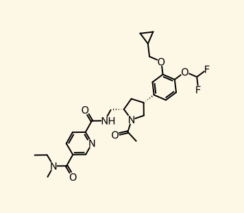 CCN(C)C(=O)c1ccc(C(=O)NC[C@@H]2C[C@H](c3ccc(OC(F)F)c(OCC4CC4)c3)CN2C(C)=O)nc1